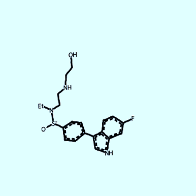 CCN(CCNCCO)[S+]([O-])c1ccc(-c2c[nH]c3cc(F)ccc23)cc1